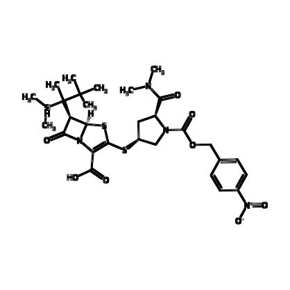 CN(C)C(=O)[C@@H]1C[C@H](SC2=C(C(=O)O)N3C(=O)[C@@H](C(C)([SiH](C)C)C(C)(C)C)[C@H]3S2)CN1C(=O)OCc1ccc([N+](=O)[O-])cc1